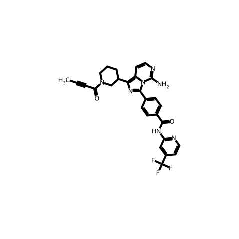 CC#CC(=O)N1CCCC(c2nc(-c3ccc(C(=O)Nc4cc(C(F)(F)F)ccn4)cc3)n3c(N)nccc23)C1